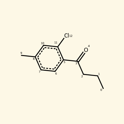 CCCC(=O)c1ccc(C)cc1Cl